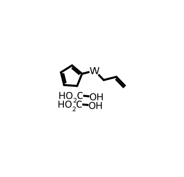 C=C[CH2][W][C]1=CC=CC1.O=C(O)O.O=C(O)O